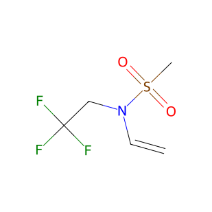 C=CN(CC(F)(F)F)S(C)(=O)=O